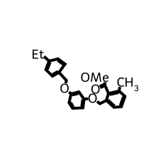 CCc1ccc(COc2cccc(OCc3cccc(C)c3C(=O)OC)c2)cc1